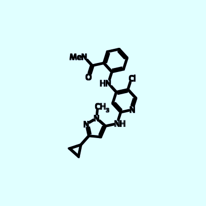 CNC(=O)c1ccccc1Nc1cc(Nc2cc(C3CC3)nn2C)ncc1Cl